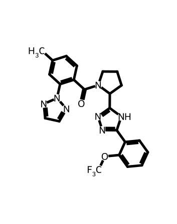 Cc1ccc(C(=O)N2CCCC2c2nnc(-c3ccccc3OC(F)(F)F)[nH]2)c(-n2nccn2)c1